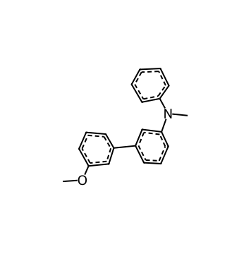 COc1cccc(-c2cccc(N(C)c3ccccc3)c2)c1